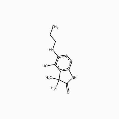 CCCNc1ccc2c(c1O)C(C)(C)C(=O)N2